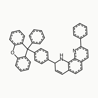 C1=CC(c2ccc(C3(c4ccccc4)c4ccccc4Oc4ccccc43)cc2)Nc2c1ccc1ccc(-c3ccccc3)nc21